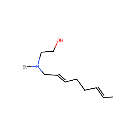 CC=CCCC=CCN(CC)CCO